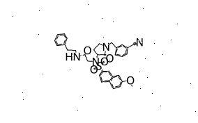 COc1ccc2ccc(S(=O)(=O)N(CC(=O)NCCc3ccccc3)[C@H]3CCN(Cc4cccc(C#N)c4)C3=O)cc2c1